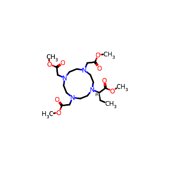 CC[C@H](C(=O)OC)N1CCN(CC(=O)OC)CCN(CC(=O)OC)CCN(CC(=O)OC)CC1